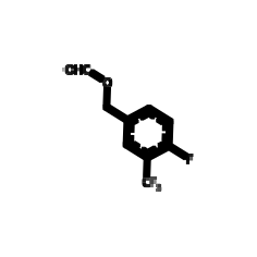 O=[C]OCc1ccc(F)c(C(F)(F)F)c1